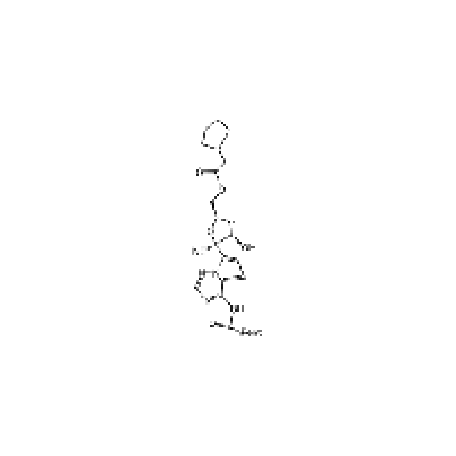 CCCCCC(=O)Nc1ncnn2c([C@]3(C#N)O[C@@H](COC(=O)CC4CCCC4)[CH][C@H]3O)ccc12